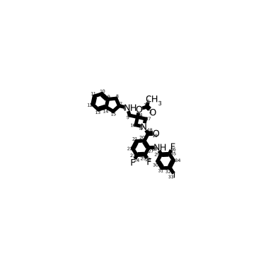 CC(=O)OC1(CNC2Cc3ccccc3C2)CN(C(=O)c2ccc(F)c(F)c2Nc2ccc(I)cc2F)C1